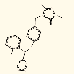 CCCCn1nc(CCC)n(Cc2ccc(OC(c3nnn[nH]3)c3ccccc3C)cc2)c1=O